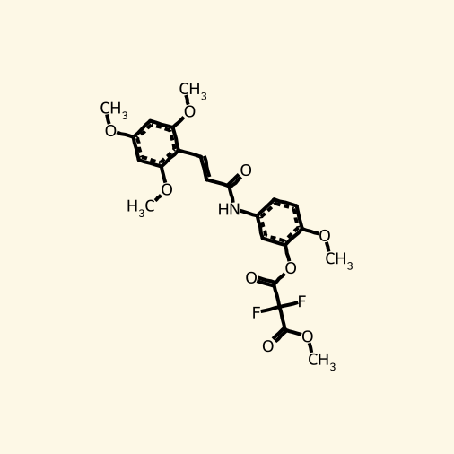 COC(=O)C(F)(F)C(=O)Oc1cc(NC(=O)C=Cc2c(OC)cc(OC)cc2OC)ccc1OC